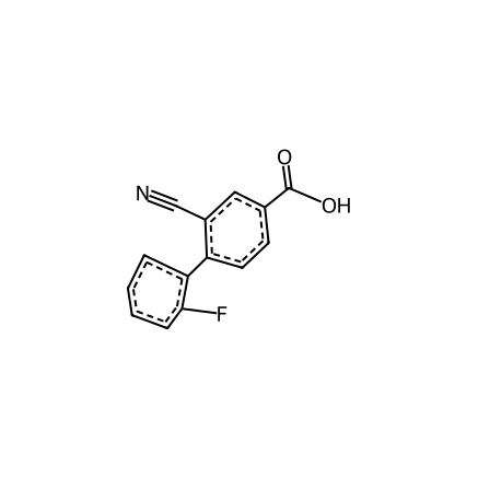 N#Cc1cc(C(=O)O)ccc1-c1ccccc1F